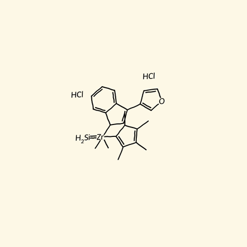 CC1=C(C)C(C)[C]([Zr]([CH3])([CH3])(=[SiH2])[CH]2C=C(c3ccoc3)c3ccccc32)=C1C.Cl.Cl